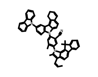 C/C=C\c1c(C)n(-c2cc(C#N)c(-n3c4ccc(-n5c6ccccc6c6ccccc65)cc4c4c5c(ccc43)C=CCC5)cc2C)c2c3c(ccc12)-c1ccccc1C3(C)C